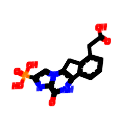 O=C(O)Cc1cccc2c1Cc1c-2[nH]c(=O)c2nc(P(=O)(O)O)cn12